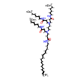 C/C=C/CCCCCCCCCCCCCCNC(=O)CCN(CCCN(CCC(=O)NCCCCCCCCCCCCCCC)CCC(=O)NCCCCCCCCCCCCCCC)CCC(=O)NCCCCCCCCCCCCCCC